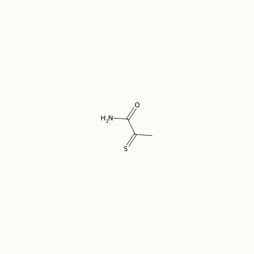 CC(=S)C(N)=O